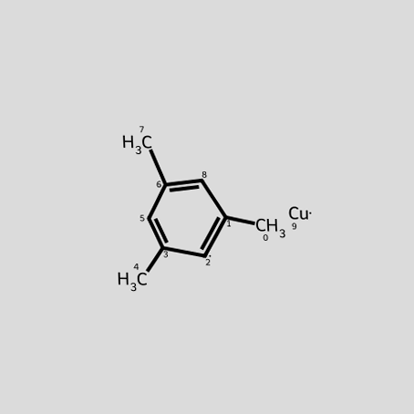 Cc1[c]c(C)cc(C)c1.[Cu]